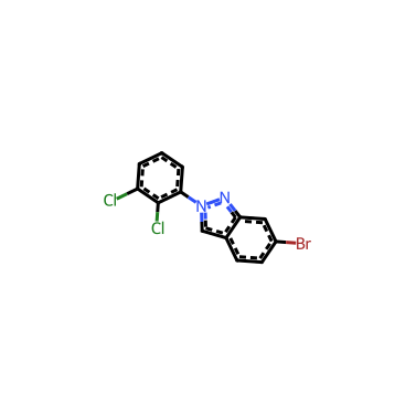 Clc1cccc(-n2cc3ccc(Br)cc3n2)c1Cl